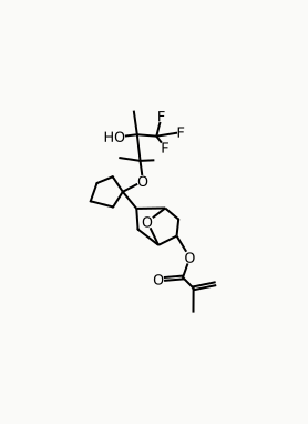 C=C(C)C(=O)OC1CC2OC1CC2C1(OC(C)(C)C(C)(O)C(F)(F)F)CCCC1